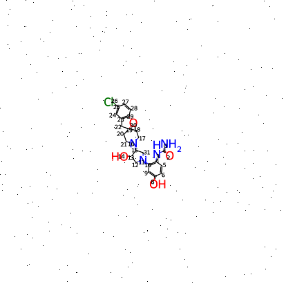 NC(=O)Nc1ccc(O)cc1N1CC(O)C(N2CCC3(CC2)Cc2cc(Cl)ccc2O3)C1